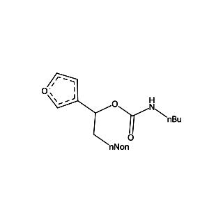 CCCCCCCCCCC(OC(=O)NCCCC)c1ccoc1